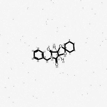 O=C1[C@H]2OC3(CCCCC3)O[C@H]2C(=O)N1Cc1ccccc1